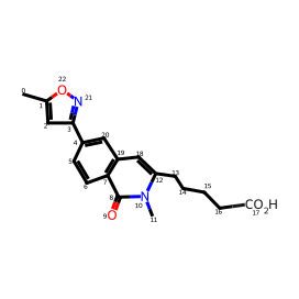 Cc1cc(-c2ccc3c(=O)n(C)c(CCCCC(=O)O)cc3c2)no1